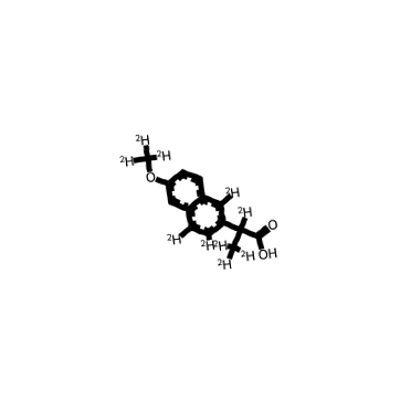 [2H]c1c(C([2H])(C(=O)O)C([2H])([2H])[2H])c([2H])c2ccc(OC([2H])([2H])[2H])cc2c1[2H]